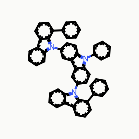 c1ccc(-c2cccc3c4ccccc4n(-c4ccc5c(c4)c4cc(-n6c7ccccc7c7cccc(-c8ccccc8)c76)ccc4n5-c4ccccc4)c23)cc1